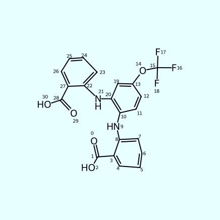 O=C(O)c1ccccc1Nc1ccc(OC(F)(F)F)cc1Nc1ccccc1C(=O)O